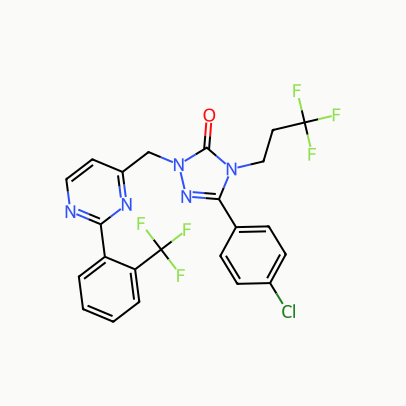 O=c1n(Cc2ccnc(-c3ccccc3C(F)(F)F)n2)nc(-c2ccc(Cl)cc2)n1CCC(F)(F)F